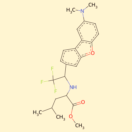 COC(=O)C(CC(C)C)NC(c1ccc2c(c1)oc1ccc(N(C)C)cc12)C(F)(F)F